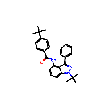 CC(C)(C)c1ccc(C(=O)Nc2cccc3c2c(-c2ccccc2)nn3C(C)(C)C)cc1